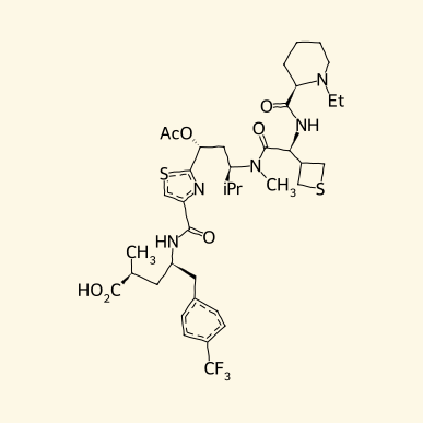 CCN1CCCC[C@@H]1C(=O)N[C@H](C(=O)N(C)[C@H](C[C@@H](OC(C)=O)c1nc(C(=O)N[C@@H](Cc2ccc(C(F)(F)F)cc2)C[C@H](C)C(=O)O)cs1)C(C)C)C1CSC1